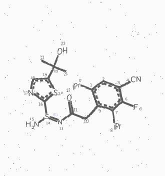 CC(C)c1cc(C#N)c(F)c(C(C)C)c1CC(=O)/N=S(/N)c1ncc(C(C)(C)O)s1